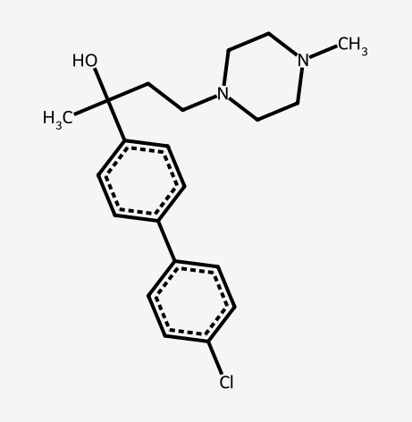 CN1CCN(CCC(C)(O)c2ccc(-c3ccc(Cl)cc3)cc2)CC1